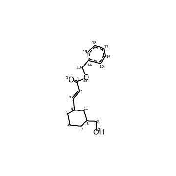 O=C(/C=C/C1CCCC(CO)C1)OCc1ccccc1